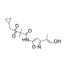 C/C(=C\O)c1cc(NC(=O)C(C)(C)S(=O)(=O)CC2CC2)on1